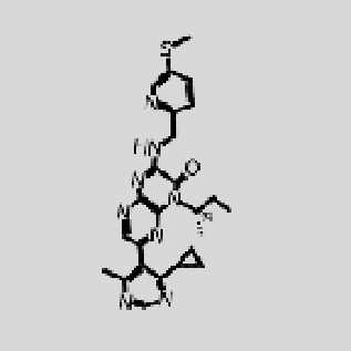 CC[C@H](C)n1c(=O)c(NCc2ccc(SC)cn2)nc2ncc(-c3c(C)ncnc3C3CC3)nc21